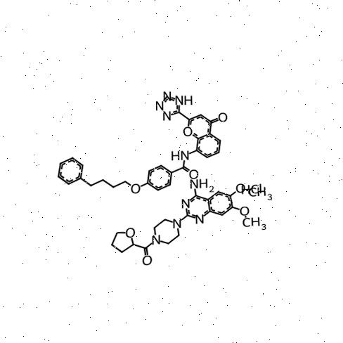 COc1cc2nc(N3CCN(C(=O)C4CCCO4)CC3)nc(N)c2cc1OC.Cl.O=C(Nc1cccc2c(=O)cc(-c3nnn[nH]3)oc12)c1ccc(OCCCCc2ccccc2)cc1